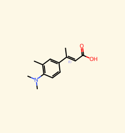 C/C(=C\C(=O)O)c1ccc(N(C)C)c(C)c1